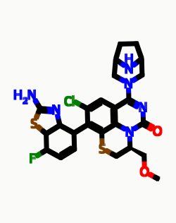 COC[C@H]1CSc2c(C3C=CC(F)C4SC(N)=NC34)c(Cl)cc3c(N4CC5CCC(C4)N5)nc(=O)n1c23